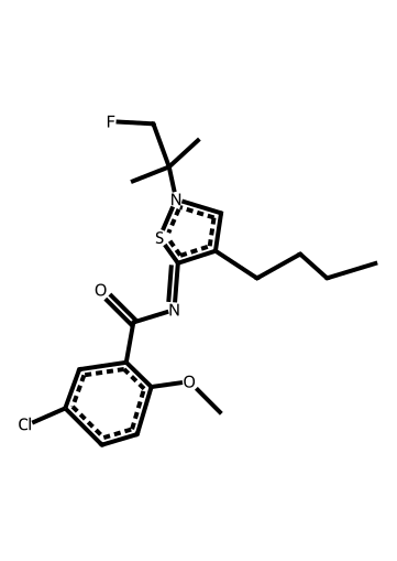 CCCCc1cn(C(C)(C)CF)sc1=NC(=O)c1cc(Cl)ccc1OC